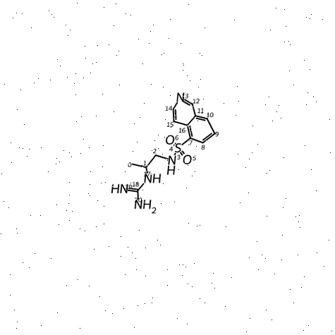 CC(CNS(=O)(=O)c1cccc2cnccc12)NC(=N)N